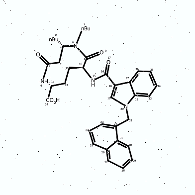 CCCC[C@@H](CC(N)=O)N(CCCC)C(=O)[C@H](CCCC(=O)O)NC(=O)c1cn(Cc2cccc3ccccc23)c2ccccc12